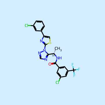 C[C@H](NC(=O)c1cc(Cl)cc(C(F)(F)F)c1)c1ncnn1-c1nc(-c2cccc(Cl)c2)cs1